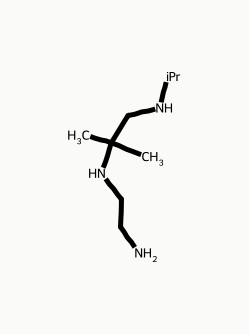 CC(C)NCC(C)(C)NCCN